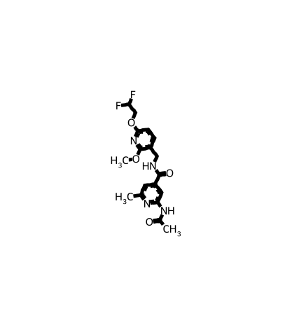 COc1nc(OCC(F)F)ccc1CNC(=O)c1cc(C)nc(NC(C)=O)c1